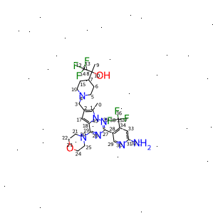 Cc1c(CN2CCC(C(C)(O)C(F)(F)F)CC2)cc2c(N3CCOCC3)nc(-c3cnc(N)cc3C(F)(F)F)nn12